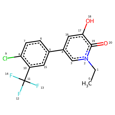 CCn1cc(-c2ccc(Cl)c(C(F)(F)F)c2)cc(O)c1=O